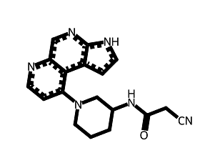 N#CCC(=O)NC1CCCN(c2ccnc3cnc4[nH]ccc4c23)C1